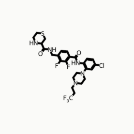 O=C(Nc1ccc(Cl)cc1N1CCN(CCC(F)(F)F)CC1)c1ccc(CNC(=O)C2CSCCN2)c(F)c1F